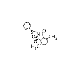 Cc1ccc(C)c2c1C(=O)N(CSc1ccccc1)S2(=O)=O